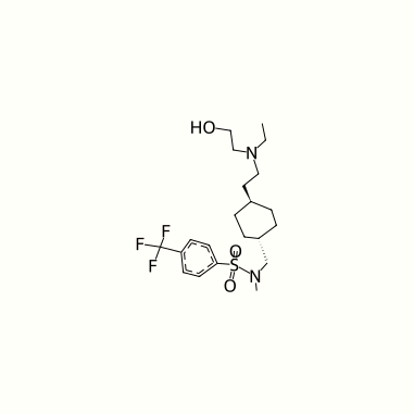 CCN(CCO)CC[C@H]1CC[C@H](CN(C)S(=O)(=O)c2ccc(C(F)(F)F)cc2)CC1